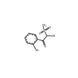 CC(C)c1ccccc1C(=O)C(C#N)S(C)(=O)=O